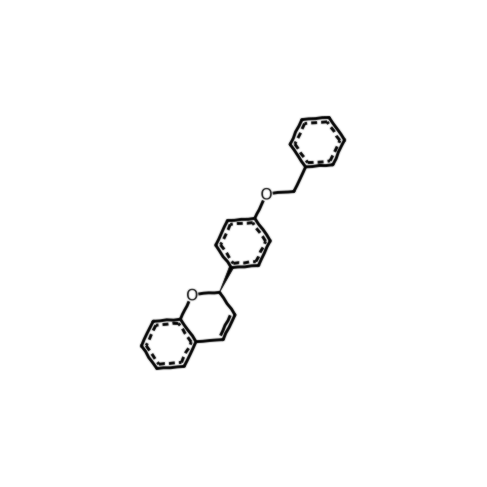 C1=C[C@H](c2ccc(OCc3ccccc3)cc2)Oc2ccccc21